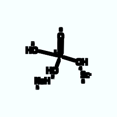 O=P(O)(O)O.[NaH].[Sc]